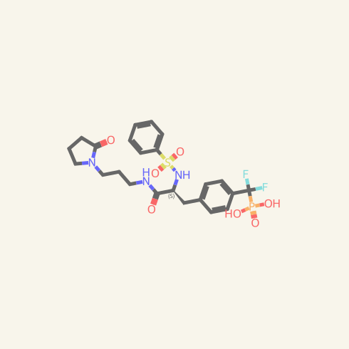 O=C(NCCCN1CCCC1=O)[C@H](Cc1ccc(C(F)(F)P(=O)(O)O)cc1)NS(=O)(=O)c1ccccc1